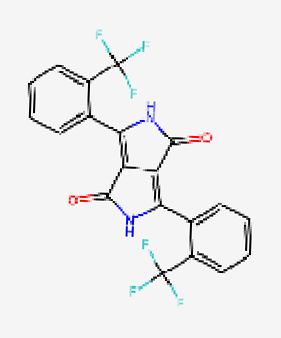 O=C1NC(c2ccccc2C(F)(F)F)=C2C(=O)NC(c3ccccc3C(F)(F)F)=C12